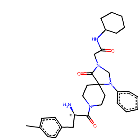 Cc1ccc(C[C@@H](N)C(=O)N2CCC3(CC2)C(=O)N(CC(=O)NC2CCCCC2)CN3c2ccccc2)cc1